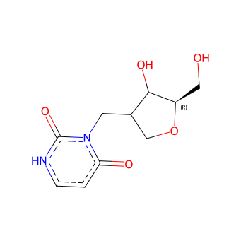 O=c1cc[nH]c(=O)n1CC1CO[C@H](CO)C1O